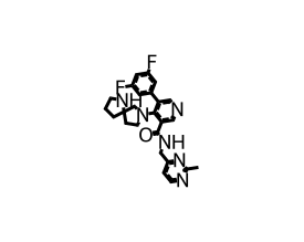 Cc1nccc(CNC(=O)c2cncc(-c3cc(F)cc(F)c3)c2N2CCC3(CCCN3)C2)n1